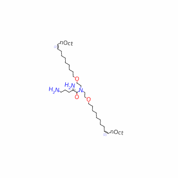 CCCCCCCC/C=C\CCCCCCCCOCCN(CCOCCCCCCCC/C=C\CCCCCCCC)C(=O)[C@@H](N)CCCN